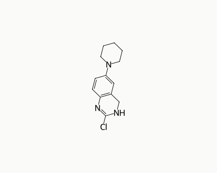 ClC1=Nc2ccc(N3CCCCC3)cc2CN1